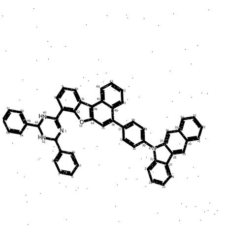 c1ccc(C2N=C(c3cccc4c3oc3cc(-c5ccc(-n6c7ccccc7c7cc8ccccc8cc76)cc5)c5ccccc5c34)NC(c3ccccc3)N2)cc1